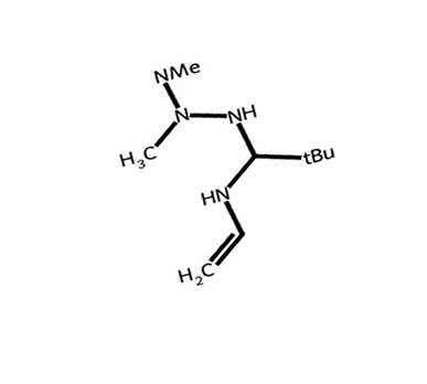 C=CNC(NN(C)NC)C(C)(C)C